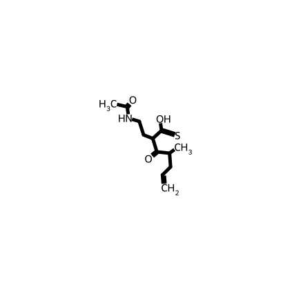 C=CCC(C)C(=O)C(CCNC(C)=O)C(O)=S